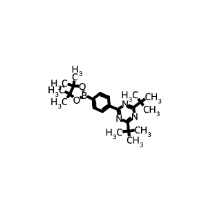 CC(C)(C)c1nc(-c2ccc(B3OC(C)(C)C(C)(C)O3)cc2)nc(C(C)(C)C)n1